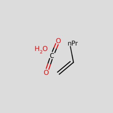 C=CCCC.O.O=C=O